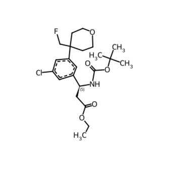 CCOC(=O)C[C@H](NC(=O)OC(C)(C)C)c1cc(Cl)cc(C2(CF)CCOCC2)c1